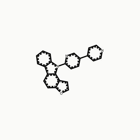 c1ccc2c(c1)c1ccc3occc3c1n2-c1ccc(-c2ccncc2)cn1